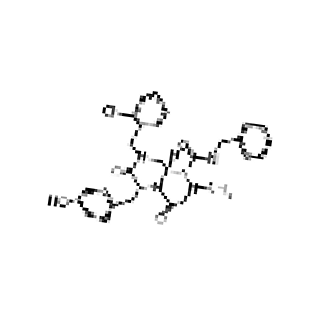 CN1CC(=O)N2[C@@H](Cc3ccc(O)cc3)C(=O)N(Cc3ccccc3Cl)C[C@@H]2N1C(=O)NCc1ccccc1